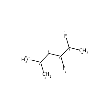 CC(C)CC(F)C(C)F